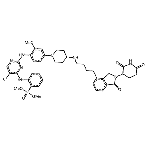 COc1cc(N2CCC(NCCCCc3cccc4c3CN(C3CCC(=O)NC3=O)C4=O)CC2)ccc1Nc1ncc(Cl)c(Nc2ccccc2P(=O)(OC)OC)n1